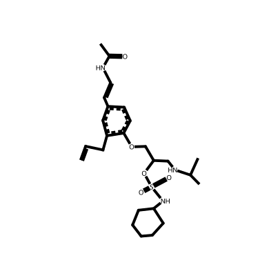 C=CCc1cc(C=CNC(C)=O)ccc1OCC(CNC(C)C)OS(=O)(=O)NC1CCCCC1